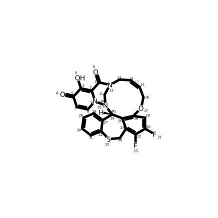 O=C1c2c(O)c(=O)ccn2N2CN1C/C=C\COc1cc(F)c(F)c3c1[C@@H]2c1ccccc1SC3